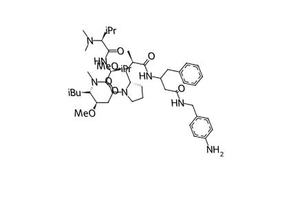 CC[C@H](C)[C@@H]([C@@H](CC(=O)N1CCC[C@H]1[C@H](OC)[C@@H](C)C(=O)NC(CC(=O)NCc1ccc(N)cc1)Cc1ccccc1)OC)N(C)C(=O)[C@@H](NC(=O)[C@H](C(C)C)N(C)C)C(C)C